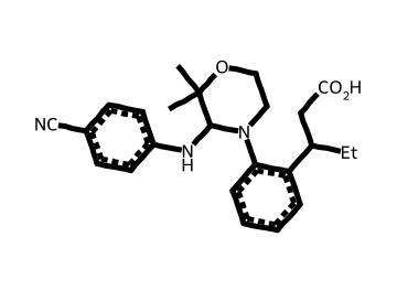 CCC(CC(=O)O)c1ccccc1N1CCOC(C)(C)C1Nc1ccc(C#N)cc1